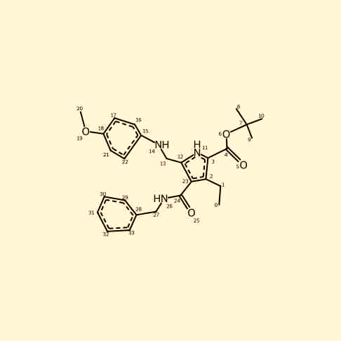 CCc1c(C(=O)OC(C)(C)C)[nH]c(CNc2ccc(OC)cc2)c1C(=O)NCc1ccccc1